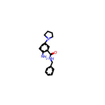 Nc1ccc(N2CCCC2)cc1C(=O)NCc1ccccc1